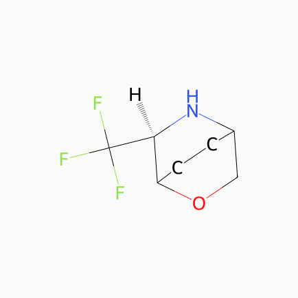 FC(F)(F)[C@H]1NC2CCC1OC2